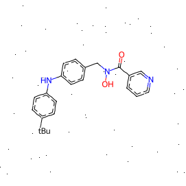 CC(C)(C)c1ccc(Nc2ccc(CN(O)C(=O)c3cccnc3)cc2)cc1